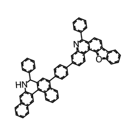 c1ccc(-c2nc3cc(-c4ccc(-c5cc6c(c7ccccc57)-c5cc7ccccc7cc5NC6c5ccccc5)cc4)ccc3c3c2ccc2c4ccccc4oc23)cc1